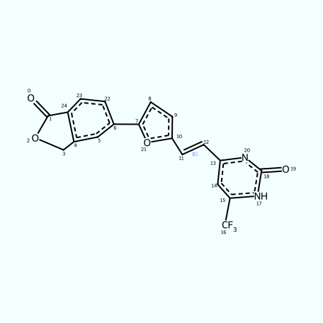 O=C1OCc2cc(-c3ccc(/C=C/c4cc(C(F)(F)F)[nH]c(=O)n4)o3)ccc21